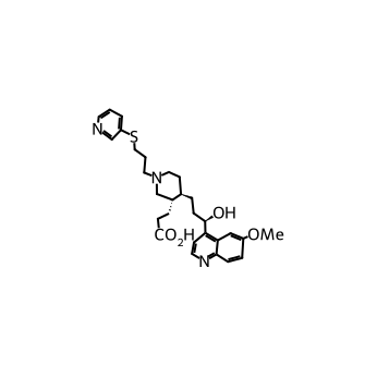 COc1ccc2nccc([C@H](O)CC[C@@H]3CCN(CCCSc4cccnc4)C[C@H]3CCC(=O)O)c2c1